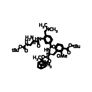 COc1c(C[C@H](NC(=O)c2ccc(CN(C)C)c(NC(=O)[C@@H](N)CNC(=O)OC(C)(C)C)c2)B2OC3CC4CC(C4(C)C)C3(C)O2)cccc1C(=O)OC(C)(C)C